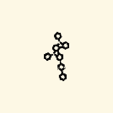 c1ccc(-c2ncc(-c3ccc4c5c6c7ccccc7n(-c7ccccc7)c6ccc5n(-c5ccccc5)c4c3)cn2)cc1